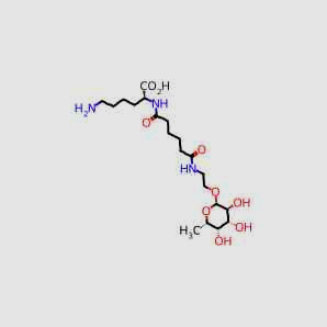 C[C@@H]1O[C@@H](OCCNC(=O)CCCCC(=O)N[C@@H](CCCCN)C(=O)O)[C@@H](O)[C@H](O)[C@@H]1O